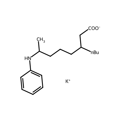 CCCCC(CCCC(C)Nc1ccccc1)CC(=O)[O-].[K+]